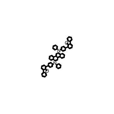 c1ccc(N(c2ccc(-c3cccc4c3oc3ccccc34)cc2)c2cc3c4ccccc4c(N(c4ccccc4)c4ccc(-c5cccc6c5oc5ccccc56)cc4)cc3c3ccccc23)cc1